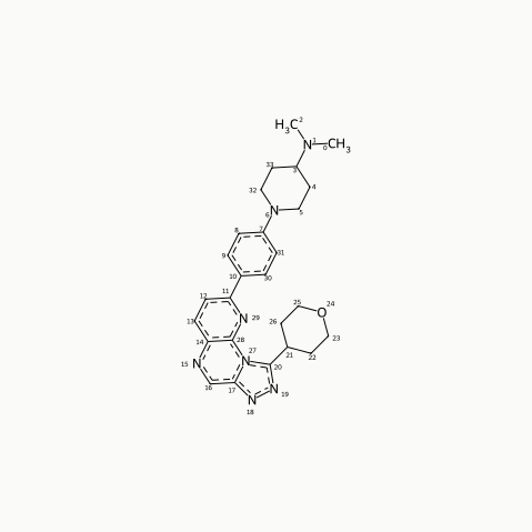 CN(C)C1CCN(c2ccc(-c3ccc4ncc5nnc(C6CCOCC6)n5c4n3)cc2)CC1